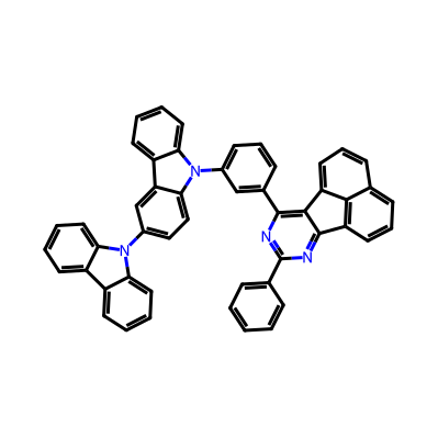 c1ccc(-c2nc(-c3cccc(-n4c5ccccc5c5cc(-n6c7ccccc7c7ccccc76)ccc54)c3)c3c(n2)-c2cccc4cccc-3c24)cc1